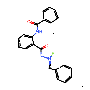 O=C(Nc1ccccc1C(=O)N[N+](F)=Cc1ccccc1)c1ccccc1